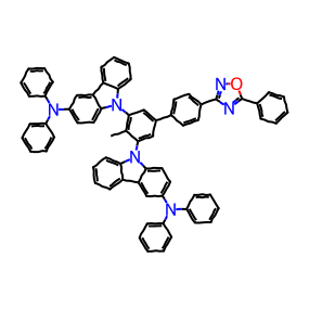 Cc1c(-n2c3ccccc3c3cc(N(c4ccccc4)c4ccccc4)ccc32)cc(-c2ccc(-c3noc(-c4ccccc4)n3)cc2)cc1-n1c2ccccc2c2cc(N(c3ccccc3)c3ccccc3)ccc21